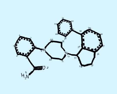 NC(=O)c1ccccc1N1CCN(C2CCc3cccc(-c4ccccc4)c32)CC1